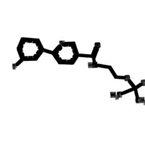 CC(C)(C)OCCNC(=O)c1ccc(-c2cccc(F)c2)nc1